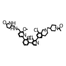 COc1nc(-c2cccc(-c3ccnc(-c4cc(Cl)c5c(c4)CCN(CC4CCN(C(C)=O)CC4)C5)c3Cl)c2Cl)ccc1CNCC1CCC(=O)N1